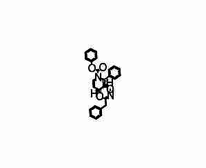 O=C(Oc1ccccc1)N1C=C[C@H]2OC(Cc3ccccc3)=NO[C@H]2[C@@H]1c1ccccc1